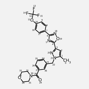 Cc1cc(-c2nc(-c3ccc(OC(F)(F)F)cc3)no2)nn1Cc1cccc(C(=O)N2CCOCC2)c1